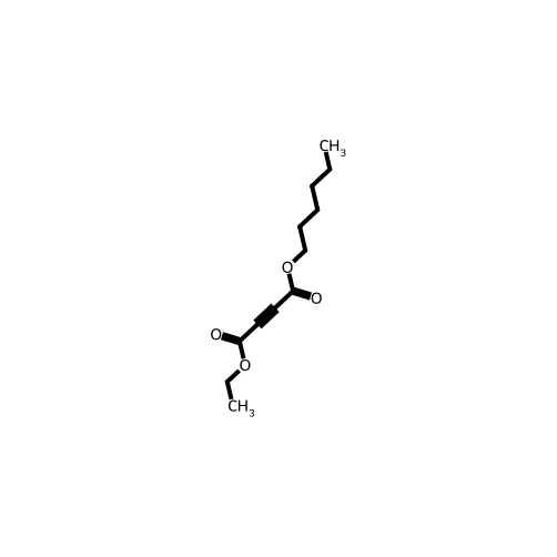 CCCCCCOC(=O)C#CC(=O)OCC